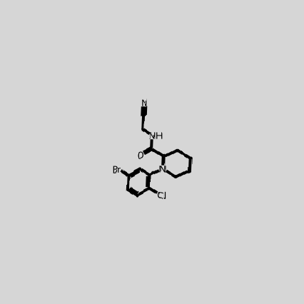 N#CCNC(=O)C1CCCCN1c1cc(Br)ccc1Cl